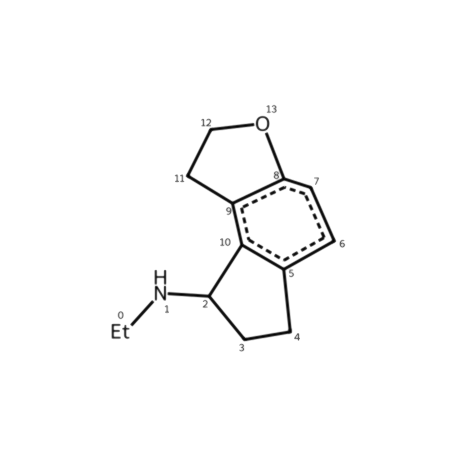 CCNC1CCc2ccc3c(c21)CCO3